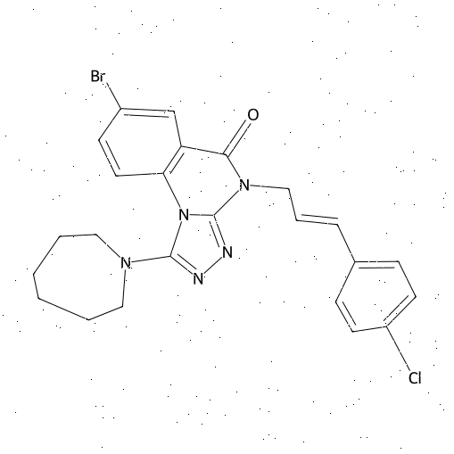 O=c1c2cc(Br)ccc2n2c(N3CCCCCC3)nnc2n1CC=Cc1ccc(Cl)cc1